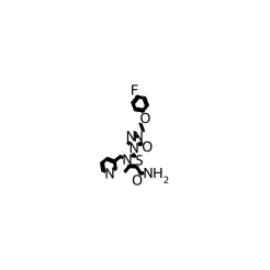 CC1=C(C(N)=O)SC(n2cnn(CCOc3ccc(F)cc3)c2=O)N1Cc1cccnc1